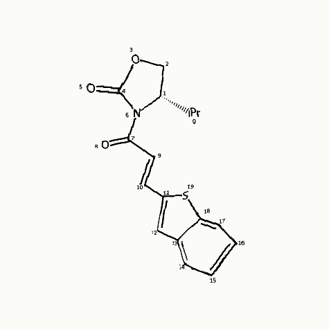 CC(C)[C@H]1COC(=O)N1C(=O)/C=C/c1cc2ccccc2s1